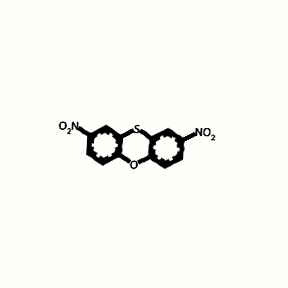 O=[N+]([O-])c1ccc2c(c1)Sc1cc([N+](=O)[O-])ccc1O2